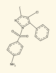 [CH2]c1nn(S(=O)(=O)c2ccc(N)cc2)c(-c2ccccc2)c1Cl